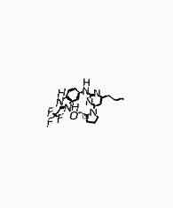 CCCc1cc(N2CCC[C@H]2CO)nc(Nc2ccc3[nH]c(C(F)(F)F)nc3c2)n1